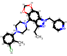 CCc1nn(Cc2ccncc2)c2cc3c(c(N4CCN(c5cccc(Cl)c5C)CC4)c12)OCO3